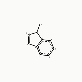 CC1N=Cc2ccccc21